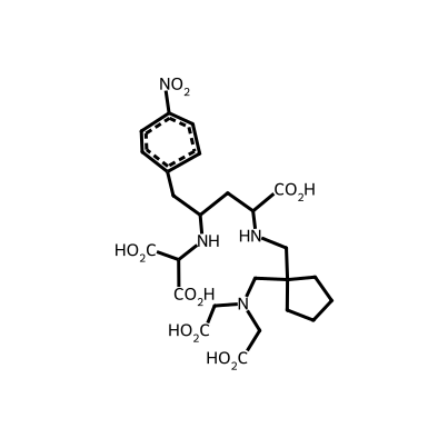 O=C(O)CN(CC(=O)O)CC1(CNC(CC(Cc2ccc([N+](=O)[O-])cc2)NC(C(=O)O)C(=O)O)C(=O)O)CCCC1